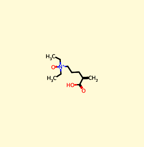 C=C(CCC[N+]([O-])(CC)CC)C(=O)O